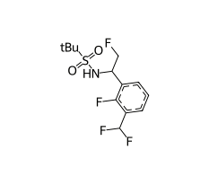 CC(C)(C)S(=O)(=O)NC(CF)c1cccc(C(F)F)c1F